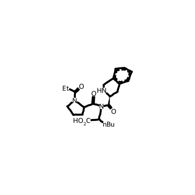 CCCCC(C(=O)O)N(C(=O)C1CCCN1C(=O)CC)C(=O)[C@@H]1Cc2ccccc2CN1